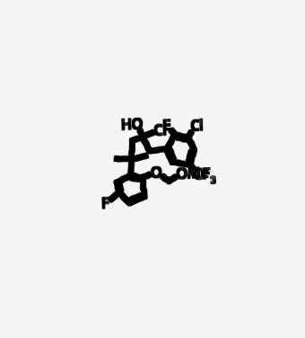 COCOc1ccc(F)cc1C(C)(C)CC(O)(Cc1cc(C(F)(F)F)cc(Cl)c1F)C(F)(F)F